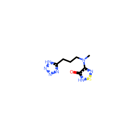 CN(CCCc1nnn[nH]1)c1ns[nH]c1=O